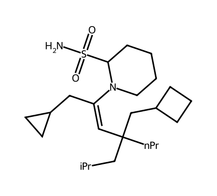 CCCC(C=C(CC1CC1)N1CCCCC1S(N)(=O)=O)(CC(C)C)CC1CCC1